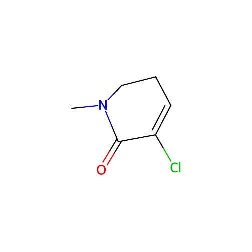 CN1CCC=C(Cl)C1=O